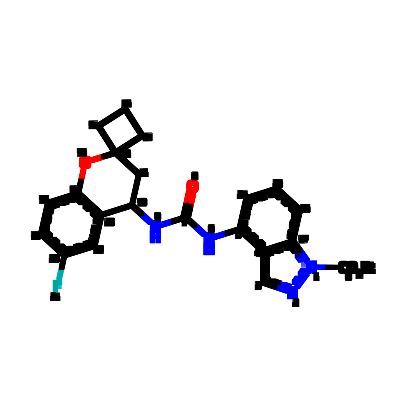 CCOC(=O)n1ncc2c(NC(=O)NC3CC4(CCC4)Oc4ccc(F)cc43)cccc21